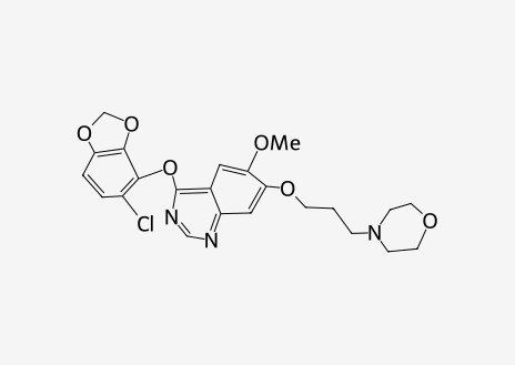 COc1cc2c(Oc3c(Cl)ccc4c3OCO4)ncnc2cc1OCCCN1CCOCC1